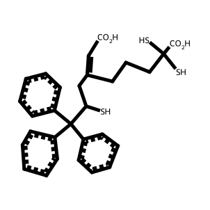 O=C(O)C=C(CCCC(S)(S)C(=O)O)CC(S)C(c1ccccc1)(c1ccccc1)c1ccccc1